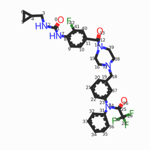 O=C(NCC1CC1)Nc1ccc(C(=O)N2CCN(Cc3cccc(N(C(=O)C(F)(F)F)c4ccccc4)c3)CC2)cc1F